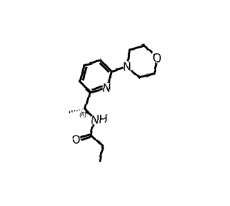 CCC(=O)N[C@H](C)c1cccc(N2CCOCC2)n1